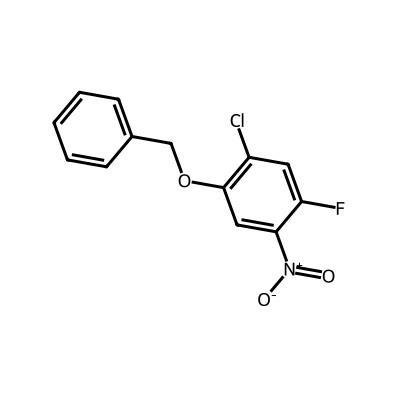 O=[N+]([O-])c1cc(OCc2ccccc2)c(Cl)cc1F